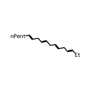 [CH2]CCCC/C=C/C/C=C/C/C=C/C/C=C/CC